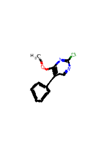 COc1nc(Cl)ncc1-c1cc[c]cc1